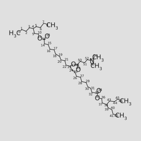 CCCCC(CCCC)CCOC(=O)CCCCCCCCCC(CCCCCCCCCC(=O)OCCC(CCCC)CCCC)OC(=O)CCCN(C)C